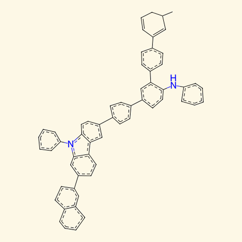 CC1C=C(c2ccc(-c3cc(-c4ccc(-c5ccc6c(c5)c5ccc(-c7ccc8ccccc8c7)cc5n6-c5ccccc5)cc4)ccc3Nc3ccccc3)cc2)C=CC1